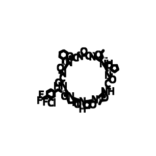 CC[C@H](C)[C@@H]1NC(=O)[C@H](C2CCCC2)N(C)C(=O)C[C@@H](C)NC(=O)[C@H](C(C)C)N(C)C(=O)C2(CCCC2)NC(=O)[C@@H]2CCCN2C(=O)[C@H](CCc2ccc(C(F)(F)F)c(Cl)c2)NC(=O)CN(C)C(=O)[C@H](CC2CCCCC2)N(C)C(=O)CN(C)C(=O)CN(C)C1=O